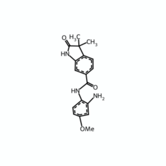 COc1ccc(NC(=O)c2ccc3c(c2)NC(=O)C3(C)C)c(N)c1